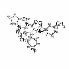 CCN1C(=O)C(NC(=O)c2cccc(C)c2)[C@@H](c2ccc(F)cc2)c2c(C)nn(C3CCCC3)c21